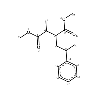 COC(=O)C(C)C(CC(C)c1ccccc1)C(=O)OC